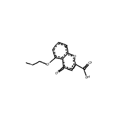 CCCOc1cccc2oc(C(=O)O)cc(=O)c12